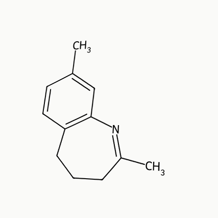 CC1=Nc2cc(C)ccc2CCC1